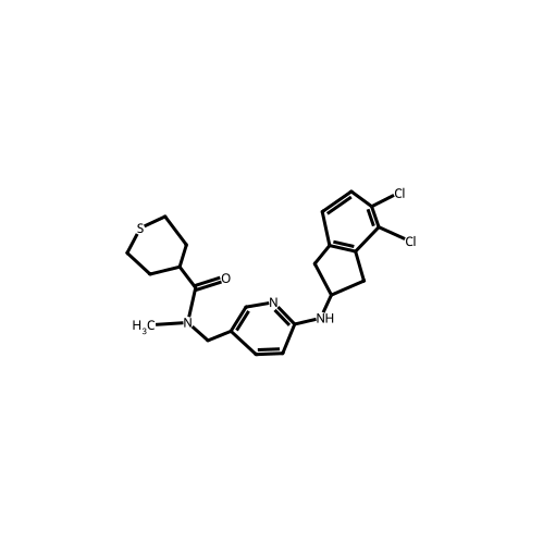 CN(Cc1ccc(NC2Cc3ccc(Cl)c(Cl)c3C2)nc1)C(=O)C1CCSCC1